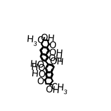 CC1(O)CC(=O)c2c(cc3cc(O)c(-c4c(O)cc5cc6c(c(O)c5c4O)C(=O)CC(C)(O)C6)c(O)c3c2O)C1